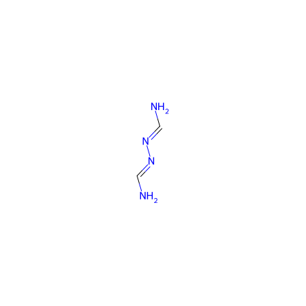 NC=NN=CN